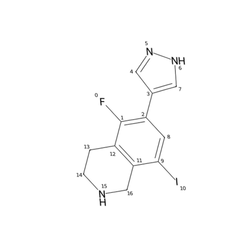 Fc1c(-c2cn[nH]c2)cc(I)c2c1CCNC2